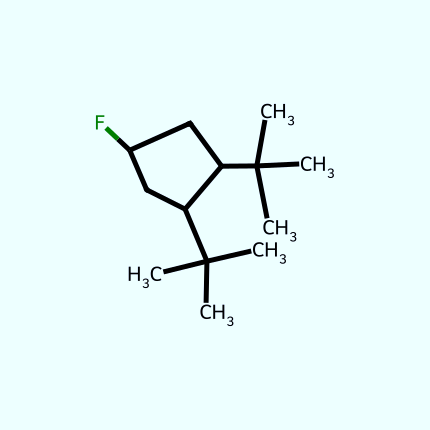 CC(C)(C)C1CC(F)CC1C(C)(C)C